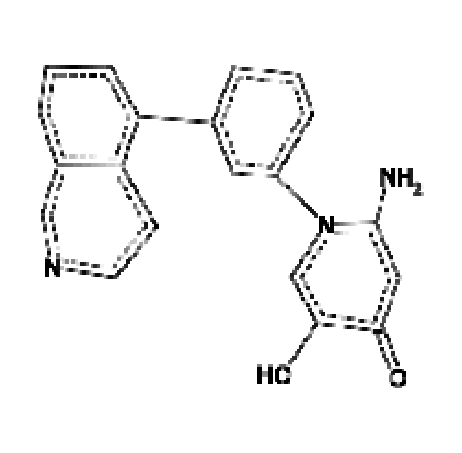 Nc1cc(=O)c(O)cn1-c1cccc(-c2cccc3cnccc23)c1